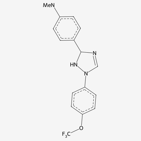 CNc1ccc(C2N=CN(c3ccc(OC(F)(F)F)cc3)N2)cc1